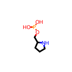 OP(O)OCC1CCCN1